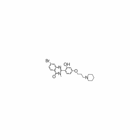 Cn1c(-c2ccc(OCCCN3CCCCC3)cc2O)nc2cc(Br)ccc2c1=O